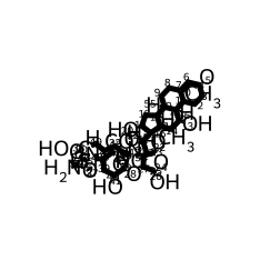 C[C@]12CCC(=O)C=C1CC[C@@H]1[C@@H]2[C@@H](O)C[C@@]2(C)[C@H]1C[C@@H](O)[C@]2(O[C@@H]1O[C@@H](O)[C@H](O[C@H]2O[C@H](C(=O)O)[C@@H](NS(N)(=O)=O)CC2O)[C@@H]1NC(=O)C[C@H](N)CC(=O)O)C(=O)CO